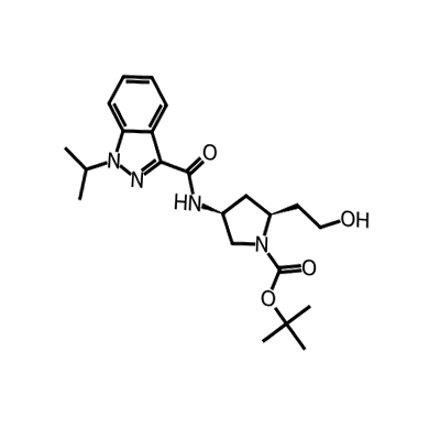 CC(C)n1nc(C(=O)N[C@H]2C[C@@H](CCO)N(C(=O)OC(C)(C)C)C2)c2ccccc21